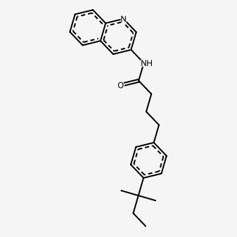 CCC(C)(C)c1ccc(CCCC(=O)Nc2cnc3ccccc3c2)cc1